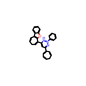 C1=CCC=CC(C2=NN(c3ccccc3)NC(C3=CCC=Cc4c3oc3ccccc43)=C2)=C1